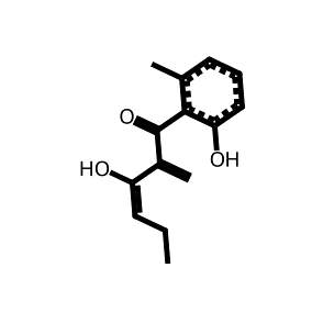 C=C(C(=O)c1c(C)cccc1O)/C(O)=C\CC